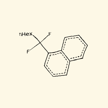 [CH2]CCCCCC(F)(F)c1cccc2ccccc12